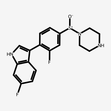 [O-][S+](c1ccc(-c2c[nH]c3cc(F)ccc23)c(F)c1)N1CCNCC1